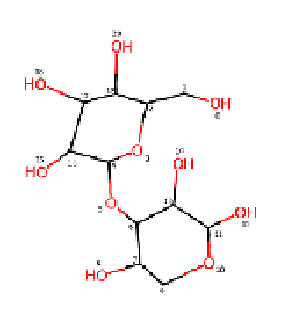 OCC1OC(OC2C(O)COC(O)C2O)C(O)C(O)C1O